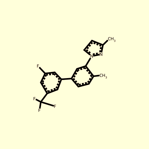 Cc1ccn(-c2cc(-c3cc(F)cc(C(F)(F)F)c3)ccc2C)n1